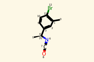 Cc1cc([C@H](C)N=C=O)ccc1Br